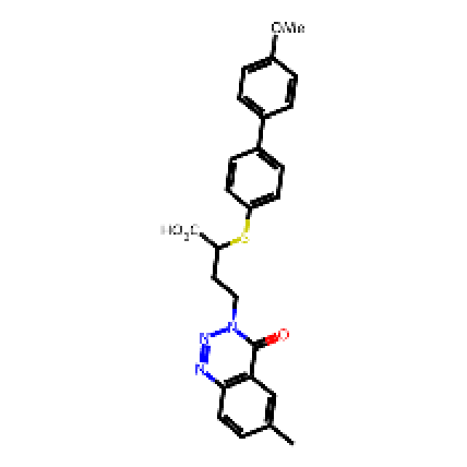 COc1ccc(-c2ccc(SC(CCn3nnc4ccc(C)cc4c3=O)C(=O)O)cc2)cc1